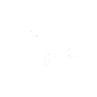 CON(C)C(=O)[C@@H]1CCC(c2ccc(C(F)(F)F)cc2)CN1c1ccc(C(=O)O)cc1